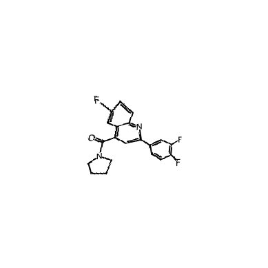 O=C(c1cc(-c2ccc(F)c(F)c2)nc2ccc(F)cc12)N1CCCC1